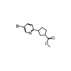 COC(=O)C1CCC(c2ccc(Br)cn2)C1